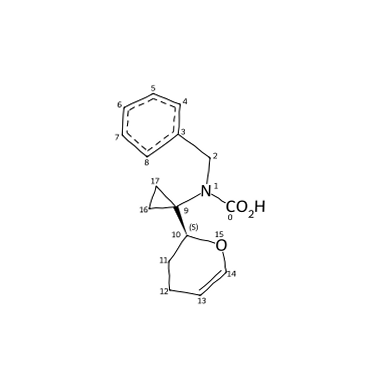 O=C(O)N(Cc1ccccc1)C1([C@@H]2CCC=CO2)CC1